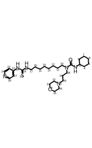 O=C(NC1CCCCC1)N(CCCCCCCCNC(=S)Nc1ccncc1)CCCN1CCOCC1